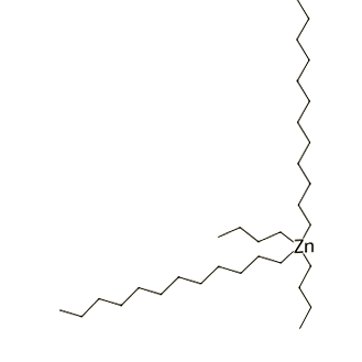 CCCCCCCCCCC[CH2][Zn]([CH2]CCC)([CH2]CCC)[CH2]CCCCCCCCCCC